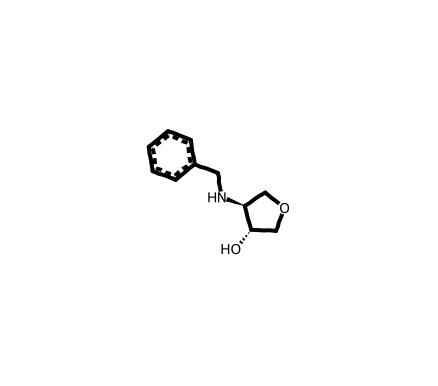 O[C@H]1COC[C@@H]1NCc1ccccc1